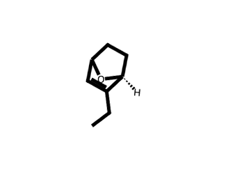 CCC1=CC2CC[C@@H]1O2